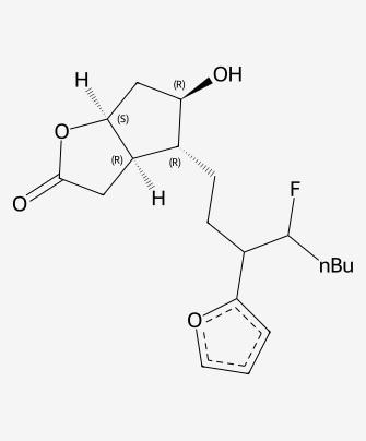 CCCCC(F)C(CC[C@@H]1[C@H]2CC(=O)O[C@H]2C[C@H]1O)c1ccco1